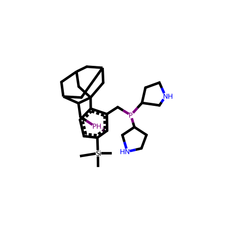 C[Si](C)(C)c1ccc(C23CC4CC(CC(C4)C2CP)C3)c(CP(C2CCNC2)C2CCNC2)c1